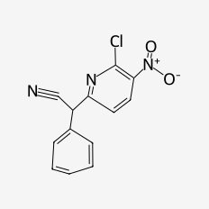 N#CC(c1ccccc1)c1ccc([N+](=O)[O-])c(Cl)n1